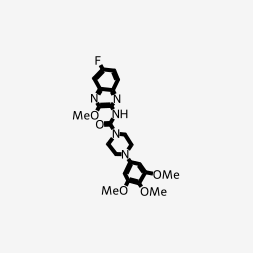 COc1cc(N2CCN(C(=O)Nc3nc4ccc(F)cc4nc3OC)CC2)cc(OC)c1OC